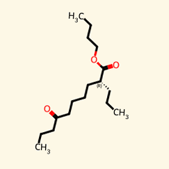 CCCCOC(=O)[C@H](CCC)CCCCC(=O)CCC